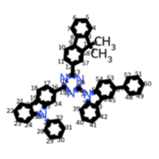 CC1(C)c2ccccc2-c2ccc(-c3nc(-c4ccc5c6ccccc6n(-c6ccccc6)c5c4)nc(-n4c5ccccc5c5cc(-c6ccccc6)ccc54)n3)cc21